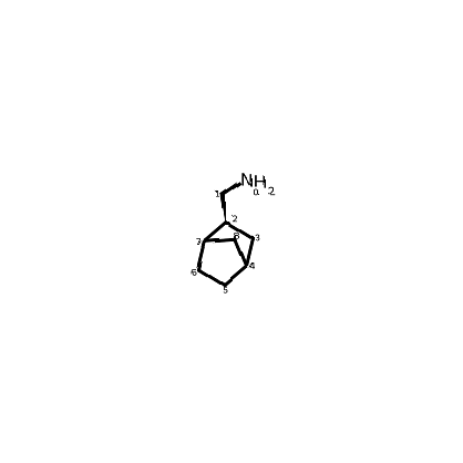 NC[C@H]1CC2CCC1C2